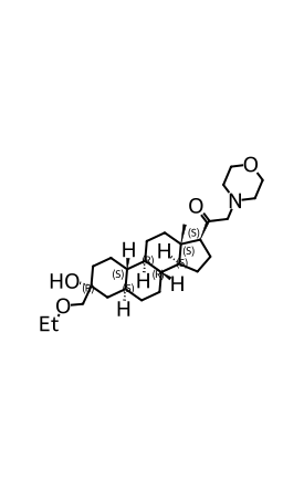 CCOC[C@@]1(O)CC[C@H]2[C@@H](CC[C@@H]3[C@@H]2CC[C@]2(C)[C@@H](C(=O)CN4CCOCC4)CC[C@@H]32)C1